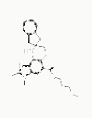 COCCCNC(=O)c1cc2c(nc(C)n2C)c2c1CCC1(Cc3ccccc3C1)N2